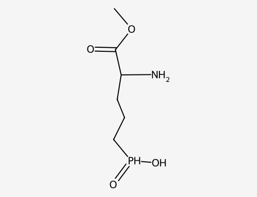 COC(=O)C(N)CCC[PH](=O)O